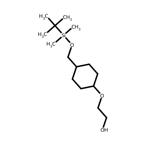 CC(C)(C)[Si](C)(C)OCC1CCC(OCCO)CC1